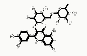 CC1OC(OCC2O[C@@H](Oc3c(-c4ccc(O)c(O)c4)oc4cc(O)cc(O)c4c3=O)C(O)C(O)[C@@H]2O)[C@@H](O)C(O)[C@H]1O